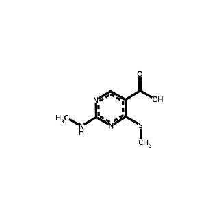 CNc1ncc(C(=O)O)c(SC)n1